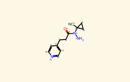 N#CC1(N(N)C(=O)CCc2ccncc2)CC1